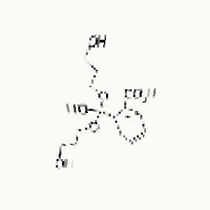 O=C(O)C1C2C=CC(C2)C1C(O)(OCCCO)OCCCO